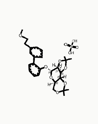 COCCc1cccc(-c2ccccc2O[C@H]2O[C@@H]3COC(C)(C)O[C@H]3[C@@H]3OC(C)(C)O[C@H]23)c1.O=S(=O)(O)O